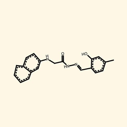 Cc1ccc(/C=N/NC(=O)CNc2ccc3ccccc3c2)c(O)c1